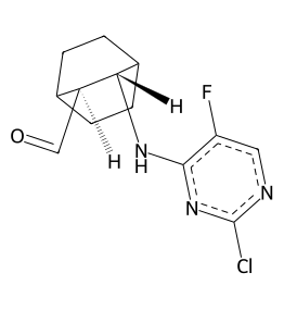 O=C[C@H]1C2CCC(CC2)[C@@H]1Nc1nc(Cl)ncc1F